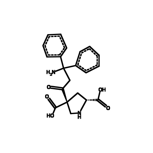 NC(CC(=O)[C@]1(C(=O)O)CN[C@@H](C(=O)O)C1)(c1ccccc1)c1ccccc1